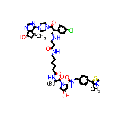 Cc1ncsc1-c1ccc(CNC(=O)[C@@H]2C[C@@H](O)CN2C(=O)[C@@H](NC(=O)CCCCCNC(=O)CCNC[C@@H](C(=O)N2CCN(c3ncnc4c3[C@H](C)C[C@H]4O)CC2)c2ccc(Cl)cc2)C(C)(C)C)cc1